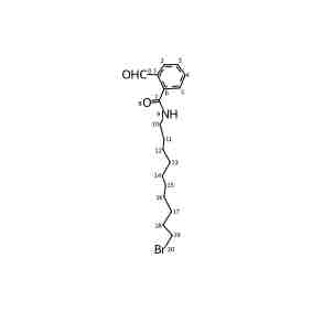 O=Cc1ccccc1C(=O)NCCCCCCCCCCBr